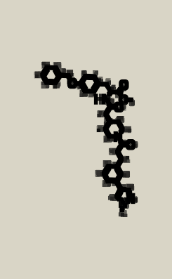 COC(=O)[C@H](Cc1ccc(OCc2ccccc2)cc1)NC(=O)CC1CCN(C(=O)CCc2cccc(-c3cnn(C)c3)c2)CC1